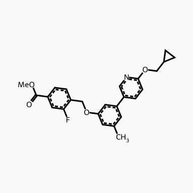 COC(=O)c1ccc(COc2cc(C)cc(-c3ccc(OCC4CC4)nc3)c2)c(F)c1